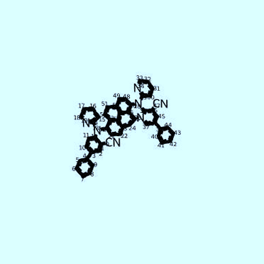 N#Cc1cc(-c2ccccc2)ccc1N(c1ccccn1)c1ccc2ccc3c(N(c4ccccn4)c4ncc(-c5ccccc5)cc4C#N)ccc4ccc1c2c43